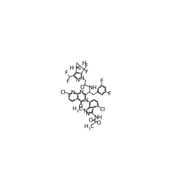 Cn1nc(NS(C)(=O)=O)c2c(Cl)ccc(-n3c(C(Cc4cc(F)cc(F)c4)NC(=O)Cn4nc(C(F)F)c5c4C(F)(F)[C@@H]4C[C@H]54)nc4nc(Cl)ccc4c3=O)c21